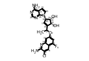 CC(Oc1cc(F)c2cc(Cl)c(N)nc2c1)C1=C[C@@H](n2ccc3c(N)ncnc32)[C@H](O)[C@@H]1O